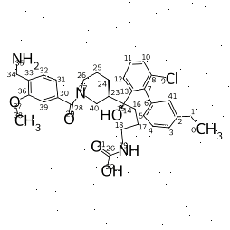 CCc1cccc(-c2c(Cl)cccc2[C@](O)(CCCNC(=O)O)[C@@H]2CCCN(C(=O)c3ccc(CN)c(OC)c3)C2)c1